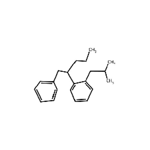 CCCC(Cc1ccccc1)c1ccccc1CC(C)C